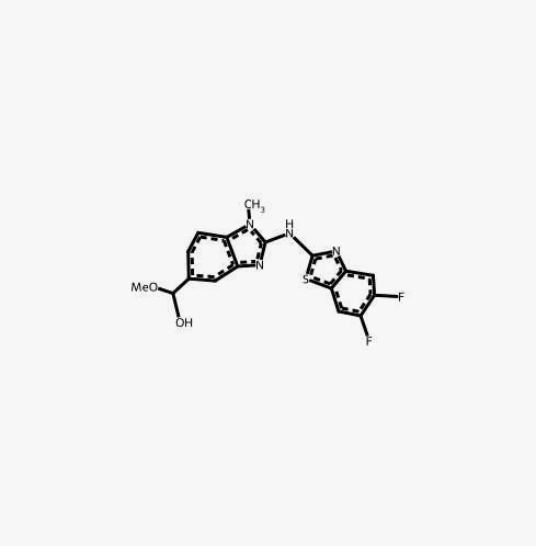 COC(O)c1ccc2c(c1)nc(Nc1nc3cc(F)c(F)cc3s1)n2C